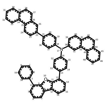 c1ccc(-c2cccc3c2oc2c(-c4ccc(N(c5ccc(-c6ccc7c(ccc8ccccc87)c6)cc5)c5ccc6ccc7ccccc7c6c5)cc4)cccc23)cc1